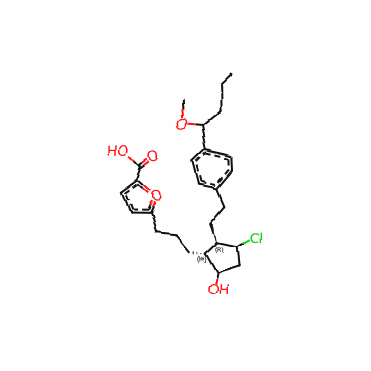 CCCC(OC)c1ccc(CC[C@H]2C(Cl)CC(O)[C@@H]2CCCc2ccc(C(=O)O)o2)cc1